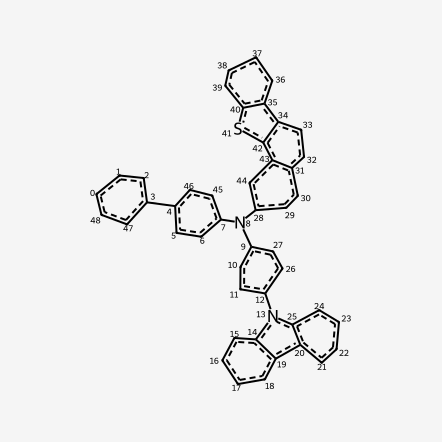 c1ccc(-c2ccc(N(c3ccc(-n4c5ccccc5c5ccccc54)cc3)c3ccc4ccc5c6ccccc6sc5c4c3)cc2)cc1